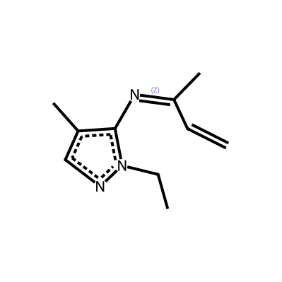 C=C/C(C)=N\c1c(C)cnn1CC